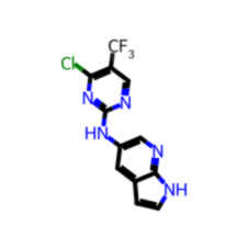 FC(F)(F)c1cnc(Nc2cnc3[nH]ccc3c2)nc1Cl